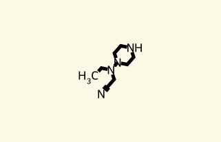 CCN(CC#N)N1CCNCC1